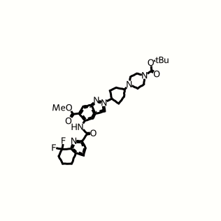 COC(=O)c1cc2nn(C3CCC(N4CCN(C(=O)OC(C)(C)C)CC4)CC3)cc2cc1NC(=O)c1ccc2c(n1)C(F)(F)CCC2